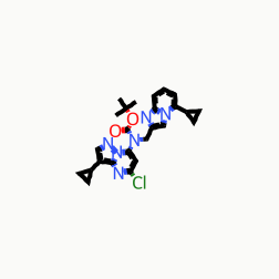 CC(C)(C)OC(=O)N(Cc1cn2c(C3CC3)cccc2n1)c1cc(Cl)nc2c(C3CC3)cnn12